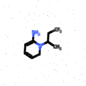 CC(CC(F)(F)F)N1CC=CC=C1N